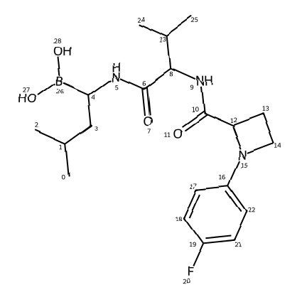 CC(C)CC(NC(=O)C(NC(=O)C1CCN1c1ccc(F)cc1)C(C)C)B(O)O